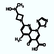 Cc1cc(N2CC(N(C)O)C2)nc2c1c(=O)c(C(=O)O)cn2-c1ncns1